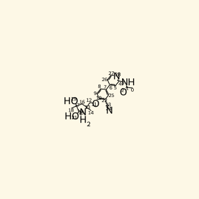 CC(=O)Nc1cc(-c2ccc(OCC(C)(N)CC(C)(O)CO)c(C#N)c2)ccn1